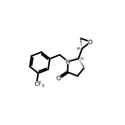 O=C1CC[C@@H]([C@@H]2CO2)N1Cc1cccc(C(F)(F)F)c1